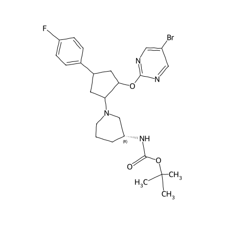 CC(C)(C)OC(=O)N[C@@H]1CCCN(C2CC(c3ccc(F)cc3)CC2Oc2ncc(Br)cn2)C1